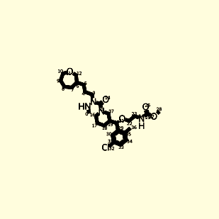 CNN(CCCC1CCCCOC1)C(=O)N1CCCC([C@@H](OCCNC(=O)OC)c2cc(Cl)ccc2C)C1